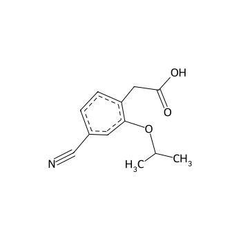 CC(C)Oc1cc(C#N)ccc1CC(=O)O